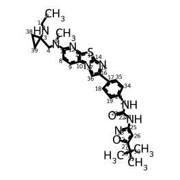 CCNC1(CN(C)c2ccc3c(n2)sc2nc(-c4ccc(NC(=O)Nc5cc(C(C)(C)C)on5)cc4)cn23)CC1